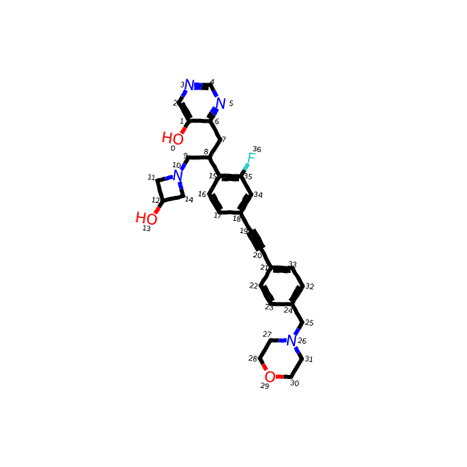 Oc1cncnc1CC(CN1CC(O)C1)c1ccc(C#Cc2ccc(CN3CCOCC3)cc2)cc1F